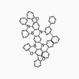 c1ccc(-c2cc(-c3ccccc3)cc(N3c4cc5c(cc4B4c6ccccc6N(c6ccccc6)c6c4c3cc3oc4ccccc4c63)B3c4ccccc4Oc4c3c(cc3oc6ccccc6c43)N5c3ccccc3-c3ccccc3)c2)cc1